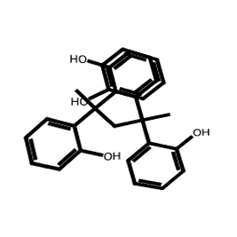 CC(CC(C)(c1ccccc1O)c1ccccc1O)(c1ccccc1O)c1ccccc1O